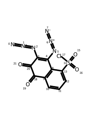 [N-]=[N+]=NC1=C(N=[N+]=[N-])c2c(cccc2S(=O)(=O)Cl)C(=O)C1=O